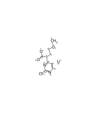 COCCC(C(=O)[O-])c1ccnc(Cl)n1.[Li+]